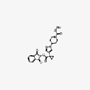 CC(C)(C)OC(=O)N1CCC(n2cc(C3(C(=O)ON4C(=O)c5ccccc5C4=O)CC3)cn2)CC1